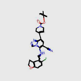 CC(C)(C)OC(=O)N1CC=C(c2cc(C#N)c(NCc3c(F)ccc4c3CCO4)n3cnnc23)CC1